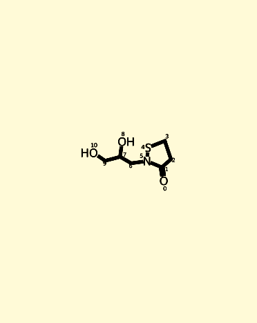 O=C1CCSN1CC(O)CO